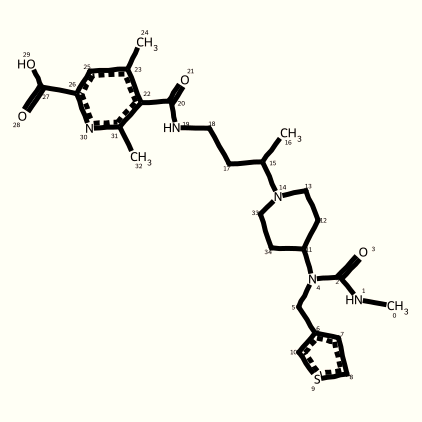 CNC(=O)N(Cc1ccsc1)C1CCN(C(C)CCNC(=O)c2c(C)cc(C(=O)O)nc2C)CC1